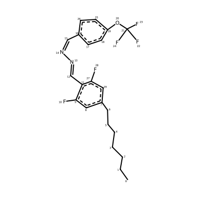 CCCCCCCc1cc(F)c(/C=N/N=C\c2ccc(OC(F)(F)F)cc2)c(F)c1